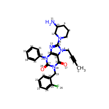 CC#CCn1c(N2CCCC(N)C2)nc2c1c(=O)n(Cc1ccccc1F)c(=O)n2-c1ccccc1